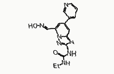 CCNC(=O)Nc1nc2cc(-c3cccnc3)cc(/C=N/O)n2n1